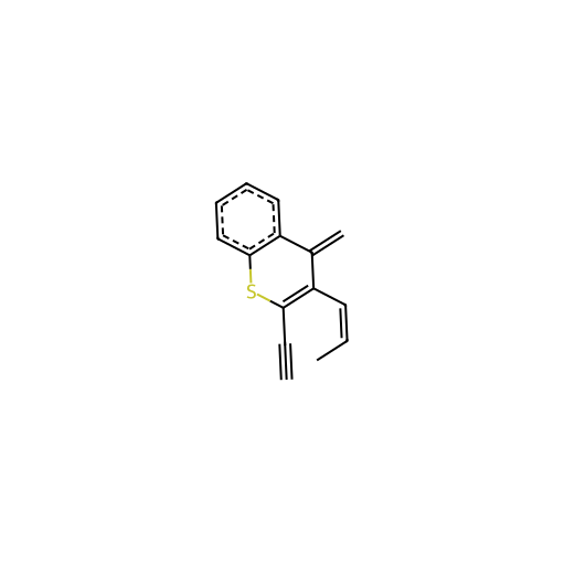 C#CC1=C(/C=C\C)C(=C)c2ccccc2S1